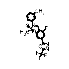 Cc1cccc(N(Cc2ccc(-c3nnc(C(F)(F)F)o3)cc2F)S(C)(=O)=O)c1